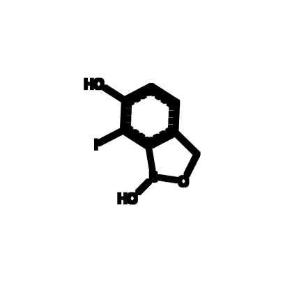 OB1OCc2ccc(O)c(I)c21